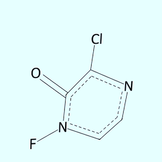 O=c1c(Cl)nccn1F